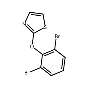 Brc1cccc(Br)c1Oc1nc[c]s1